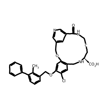 Cc1c(COc2cc3c(cc2Cl)CN[C@H](C(=O)O)CCCNC(=O)c2cncc(c2)CO3)cccc1-c1ccccc1